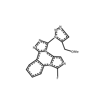 COCc1cnnn1-c1nnc2c3ccccc3n3c(F)ncc3n12